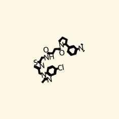 Cc1nc2cc(Cl)ccc2n1Cc1csc(CNC(=O)CCC(=O)N2CCCC2c2cccc(N(C)C)c2)n1